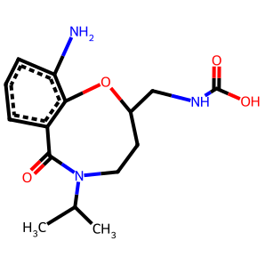 CC(C)N1CCC(CNC(=O)O)Oc2c(N)cccc2C1=O